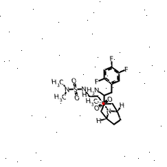 CN(C)S(=O)(=O)NCCS(=O)(=O)N1[C@@H]2CC[C@H]1C[C@](C)(C(N)Cc1cc(F)c(F)cc1F)C2